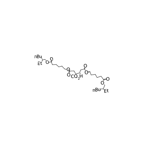 CCCCC(CC)COC(=O)CCCCCOC(=O)CCC(CC(=O)OCCCCCC(=O)OCC(CC)CCCC)C(=O)O